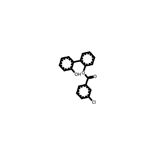 O=C(Oc1ccccc1-c1ccccc1O)c1cccc(Cl)c1